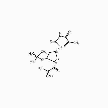 CON(C)C(=O)[C@H]1O[C@@H](n2cc(C)c(=O)[nH]c2=O)CC1O[Si](C)(C)C(C)(C)C